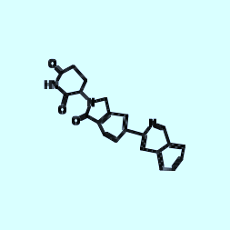 O=C1CCC(N2Cc3cc(-c4cc5ccccc5cn4)ccc3C2=O)C(=O)N1